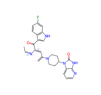 C=C(/C=C(\N=C/C)C(=O)c1c[nH]c2cc(F)ccc12)N1CCC(n2c(=O)[nH]c3ncccc32)CC1